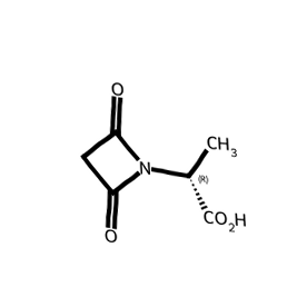 C[C@H](C(=O)O)N1C(=O)CC1=O